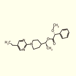 CCc1cnc(N2CCC([C@H](C)OC(=O)[C@H](OC)c3ccccc3)CC2)nc1